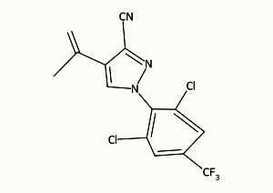 C=C(C)c1cn(-c2c(Cl)cc(C(F)(F)F)cc2Cl)nc1C#N